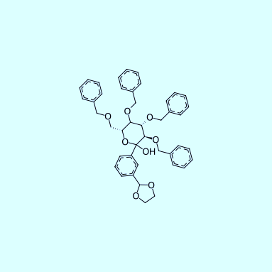 OC1(c2cccc(C3OCCO3)c2)O[C@H](COCc2ccccc2)C(OCc2ccccc2)[C@H](OCc2ccccc2)[C@H]1OCc1ccccc1